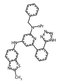 CCCN(Cc1ccccc1)c1cc(Nc2ccc3nc(C)sc3c2)cc(-c2ccccc2-c2nnn[nH]2)n1